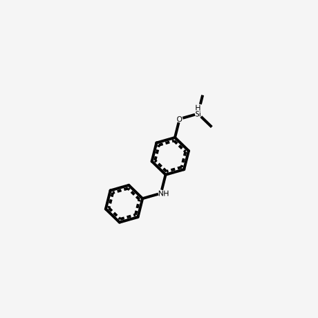 C[SiH](C)Oc1ccc(Nc2ccccc2)cc1